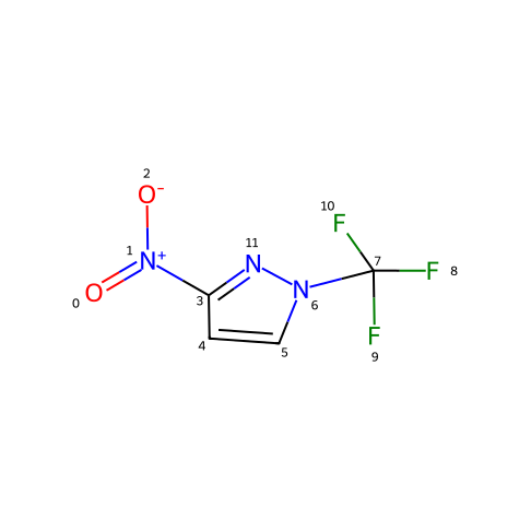 O=[N+]([O-])c1ccn(C(F)(F)F)n1